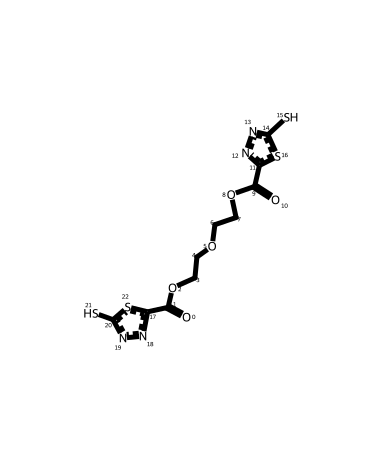 O=C(OCCOCCOC(=O)c1nnc(S)s1)c1nnc(S)s1